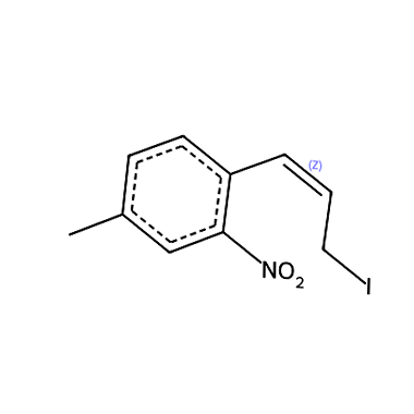 Cc1ccc(/C=C\CI)c([N+](=O)[O-])c1